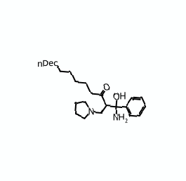 CCCCCCCCCCCCCCCC(=O)C(CN1CCCC1)C(N)(O)c1ccccc1